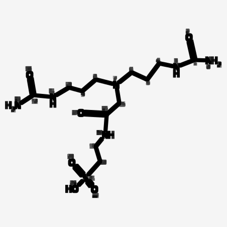 NC(=O)NCCCN(CCCNC(N)=O)CC(=O)NCCS(=O)(=O)O